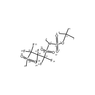 CN(S(=O)(=O)OC(C)(C)C)S(=O)(=O)C(F)(F)C(F)(F)C(F)(F)S(C)(=O)=O